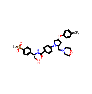 CCS(=O)(=O)c1ccc([C@H](CO)NC(=O)c2ccc(N3C[C@H](Oc4ccc(C(F)(F)F)cc4)C[C@H]3CN3CCOCC3)cc2)cc1